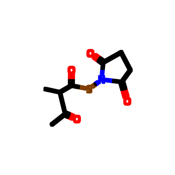 CC(=O)C(C)C(=O)SN1C(=O)CCC1=O